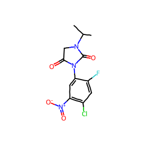 CC(C)N1CC(=O)N(c2cc([N+](=O)[O-])c(Cl)cc2F)C1=O